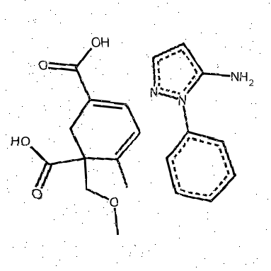 COCC1(C(=O)O)CC(C(=O)O)=CC=C1C.Nc1ccnn1-c1ccccc1